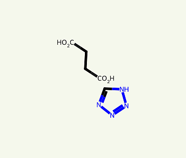 O=C(O)CCC(=O)O.c1nnn[nH]1